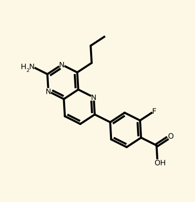 CCCc1nc(N)nc2ccc(-c3ccc(C(=O)O)c(F)c3)nc12